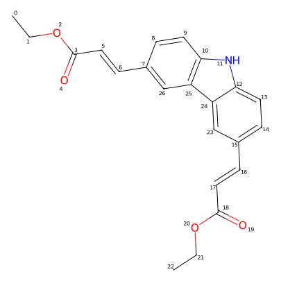 CCOC(=O)C=Cc1ccc2[nH]c3ccc(C=CC(=O)OCC)cc3c2c1